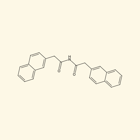 O=C(Cc1ccc2ccccc2c1)NC(=O)Cc1ccc2ccccc2c1